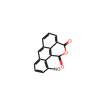 O=Nc1cccc2cc3cccc4c3c(c12)C(=O)OC4=O